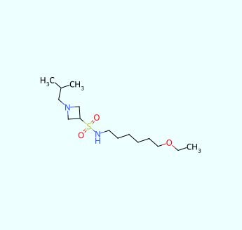 CCOCCCCCCNS(=O)(=O)C1CN(CC(C)C)C1